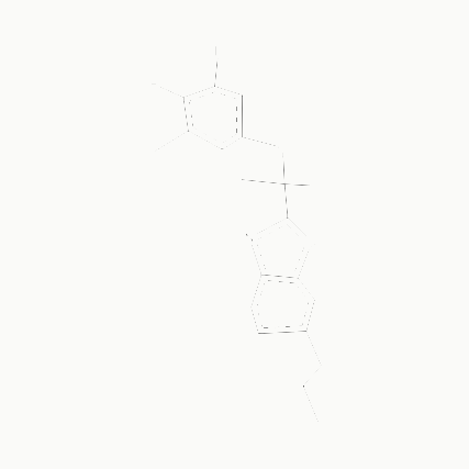 CCCc1ccc2nc(C(F)(F)Oc3cc(F)c(F)c(F)c3)sc2c1